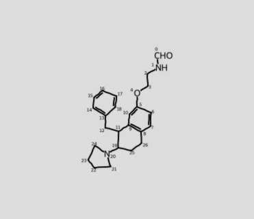 O=CNCCOc1ccc2c(c1)C(Cc1ccccc1)C(N1CCCC1)CC2